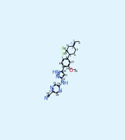 C/C=C1\CCC(c2ccc(-c3cc(Nc4cnc(C#N)cn4)n[nH]3)c(OC)c2)C(F)(F)C1